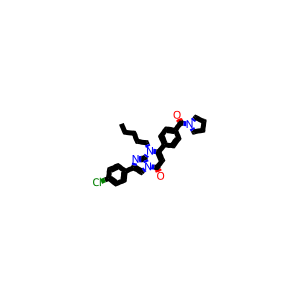 CCCCCn1c(-c2ccc(C(=O)N3CCCC3)cc2)cc(=O)n2cc(-c3ccc(Cl)cc3)nc12